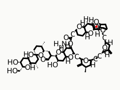 C=C1C2CC3O[C@H]4C[C@@H](O)[C@@H](C(C=O)C[C@@H]5O[C@@]6(CC[C@@H]5C)C[C@H](C)[C@@H]5O[C@H](CO)[C@H](O)C[C@@H]5O6)O[C@H]4[C@H](N)[C@H]3OC(=O)CC3CC[C@@H]4O[C@@H]5[C@H]6OC7C[C@](CC[C@H]8CC(=C)[C@H](CC[C@@H](C[C@H]1C)O2)O8)(O[C@H]6[C@H]4O3)O[C@@H]75